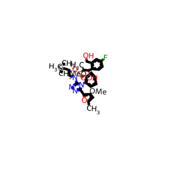 COc1cccc(OC)c1-n1c(-c2ccc(C)o2)nnc1N(CC[Si](C)(C)C)S(=O)(=O)[C@@H](C)[C@H](O)c1ccc(F)cc1CO